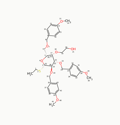 CCS[C@@H]1O[C@H](COCc2ccc(OC)cc2)[C@H](OCCO)[C@H](OCc2ccc(OC)cc2)[C@H]1OCc1ccc(OC)cc1